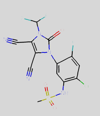 CS(=O)(=O)Nc1cc(-n2c(C#N)c(C#N)n(C(F)F)c2=O)c(F)cc1Cl